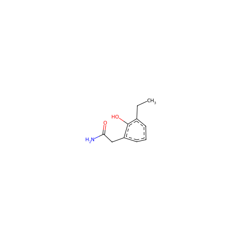 CCc1cccc(CC(N)=O)c1O